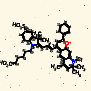 CCN1c2cc3[o+]c(-c4ccccc4)cc(/C=C/C=C4/N(CCCCCC(=O)O)c5ccc(S(=O)(=O)O)cc5C4(C)C)c3cc2C(C)=CC1(C)C